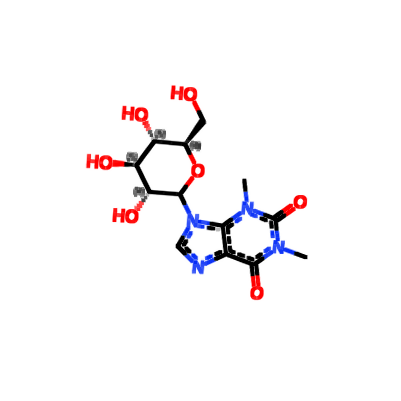 Cn1c(=O)c2ncn(C3O[C@H](CO)[C@@H](O)[C@H](O)[C@H]3O)c2n(C)c1=O